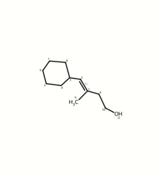 C/C(=C\C1CCCCC1)CCO